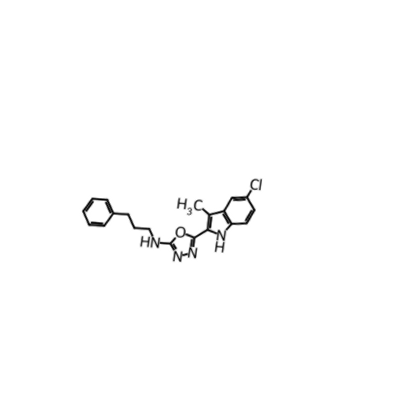 Cc1c(-c2nnc(NCCCc3ccccc3)o2)[nH]c2ccc(Cl)cc12